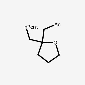 CCCCCCC1(CC(C)=O)CCCO1